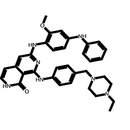 CCN1CCN(Cc2ccc(Nc3nc(Nc4ccc(Nc5ccccc5)cc4OC)cc4cc[nH]c(=O)c34)cc2)CC1